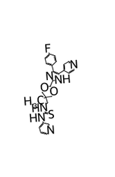 CC1(CNC(=S)Nc2cccnc2)COC(c2nc(-c3ccc(F)cc3)c(-c3ccncc3)[nH]2)OC1